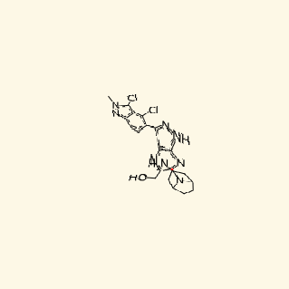 Cn1nc2ccc(-c3n[nH]c4nc(N5C6CCC5CC(N)C6)c(CO)nc34)c(Cl)c2c1Cl